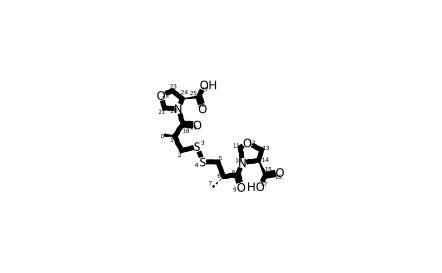 C[C@H](CSSC[C@@H](C)C(=O)N1COC[C@H]1C(=O)O)C(=O)N1COC[C@H]1C(=O)O